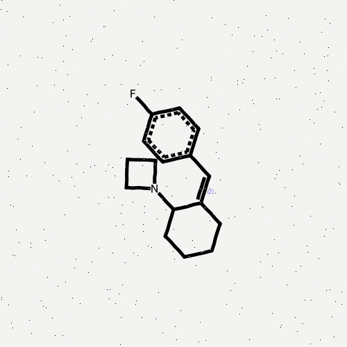 Fc1ccc(/C=C2/CCCCC2N2CCC2)cc1